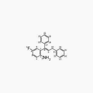 Nc1ccc(F)cc1/C(=C/Cc1ccccc1)c1ccccc1